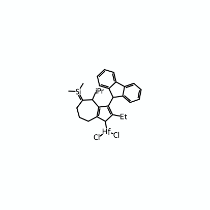 CCC1=C(C2c3ccccc3-c3ccccc32)C2=C(CCCC(=[Si](C)C)C2C(C)C)[CH]1[Hf]([Cl])[Cl]